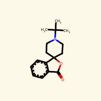 CC(C)(C)N1CCC2(CC1)OC(=O)c1ccccc12